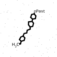 C=CC1CCC(CCCCC2CCC(C3CCC(CCCCC)CC3)CC2)CC1